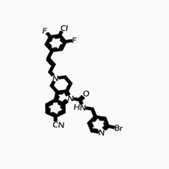 N#Cc1ccc2c3c(n(C(=O)NCc4ccnc(Br)c4)c2c1)CCN(CC=Cc1cc(F)c(Cl)c(F)c1)C3